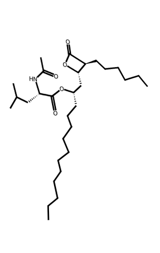 CCCCCCCCCCC[C@@H](C[C@@H]1OC(=O)[C@H]1CCCCCC)OC(=O)[C@H](CC(C)C)NC(C)=O